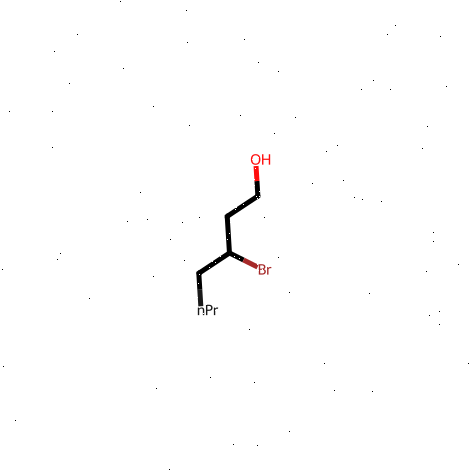 CCCCC(Br)CCO